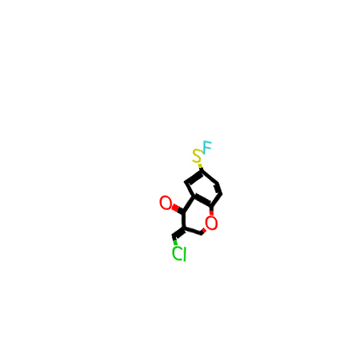 O=C1/C(=C/Cl)COc2ccc(SF)cc21